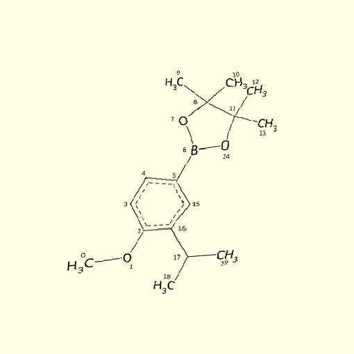 COc1ccc(B2OC(C)(C)C(C)(C)O2)cc1C(C)C